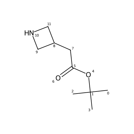 CC(C)(C)OC(=O)CC1CNC1